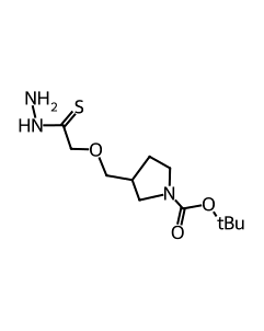 CC(C)(C)OC(=O)N1CCC(COCC(=S)NN)C1